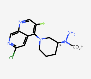 NN(C(=O)O)[C@H]1CCCN(c2c(F)cnc3cnc(Cl)cc23)C1